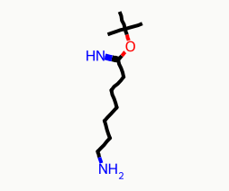 CC(C)(C)OC(=N)CCCCCCN